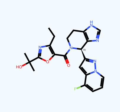 CCc1nc(C(C)(C)O)oc1C(=O)N1CCc2[nH]cnc2[C@H]1c1cc2c(F)cccn2n1